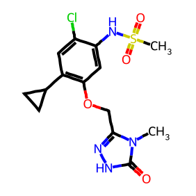 Cn1c(COc2cc(NS(C)(=O)=O)c(Cl)cc2C2CC2)n[nH]c1=O